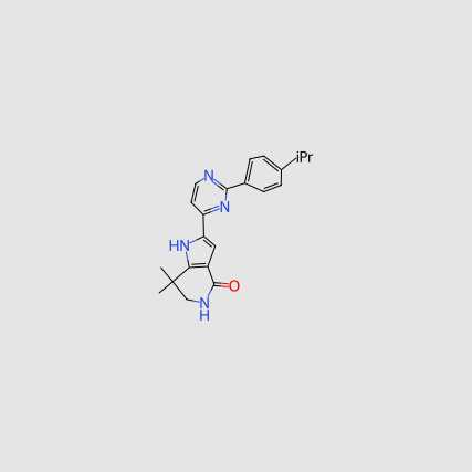 CC(C)c1ccc(-c2nccc(-c3cc4c([nH]3)C(C)(C)CNC4=O)n2)cc1